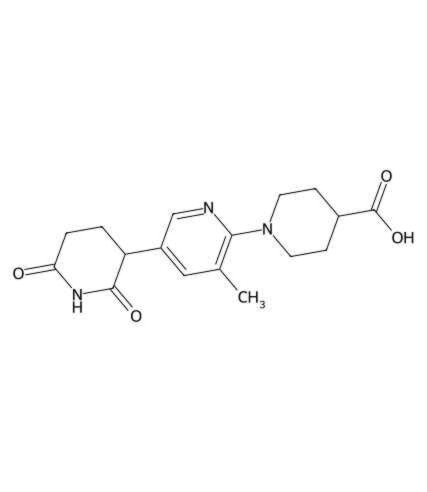 Cc1cc(C2CCC(=O)NC2=O)cnc1N1CCC(C(=O)O)CC1